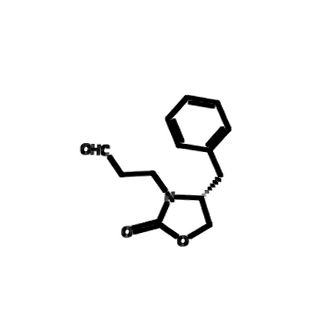 O=CCCN1C(=O)OC[C@H]1Cc1ccccc1